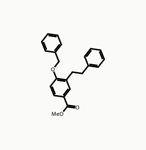 COC(=O)c1ccc(OCc2ccccc2)c(CCc2ccccc2)c1